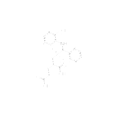 O=C(O)CCC(CP(=O)(O)C(Nc1ccccc1O)c1ccccc1)C(=O)O